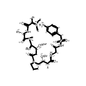 CCC(C)C([C@@H](CC(=O)N1CCC[C@H]1[C@H](OC)[C@@H](C)C(=O)NCC(=O)NS(=O)(=O)Cc1ccc(N)cc1)OC)N(C)C(=O)[C@@H](NC(=O)C(C(C)C)N(C)C)C(C)C